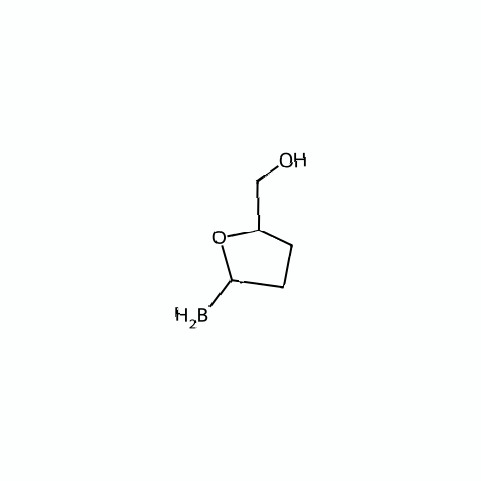 BC1CCC(CO)O1